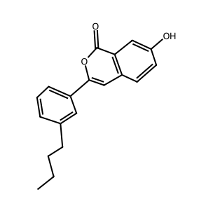 CCCCc1cccc(-c2cc3ccc(O)cc3c(=O)o2)c1